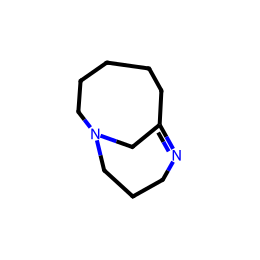 C1CCC2=NCCCN(CC1)C2